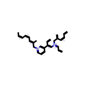 C=C/C=C\C(=C)C[N+](=C/C=C)/C=C(\C=C)c1ccc[n+](C/C(C)=C/C=C\C=C/C)c1